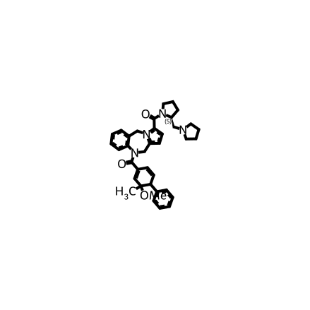 COC1(C)C=C(C(=O)N2Cc3ccc(C(=O)N4CCC[C@H]4CN4CCCC4)n3Cc3ccccc32)C=CC1c1ccccc1